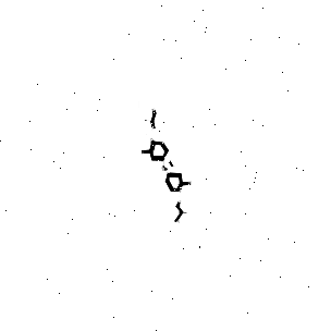 O=S(=O)(c1ccc(OC[C@@H](O)CO)c(Cl)c1)c1ccc(OC[C@@H](O)CCl)c(Cl)c1